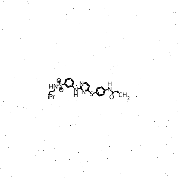 C=CC(=O)Nc1ccc(Sc2ccnc(Nc3cccc(S(=O)(=O)NCCC(C)C)c3)n2)cc1